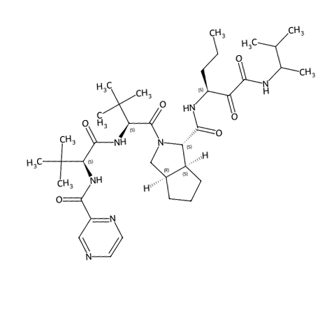 CCC[C@H](NC(=O)[C@@H]1[C@H]2CCC[C@H]2CN1C(=O)[C@@H](NC(=O)[C@@H](NC(=O)c1cnccn1)C(C)(C)C)C(C)(C)C)C(=O)C(=O)NC(C)C(C)C